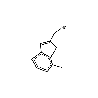 [C-]#[N+]CC1=Cc2cccc(C)c2C1